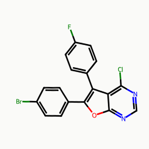 Fc1ccc(-c2c(-c3ccc(Br)cc3)oc3ncnc(Cl)c23)cc1